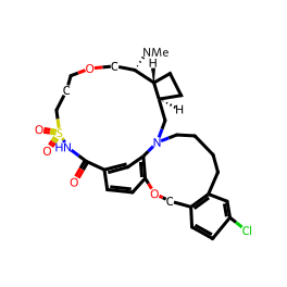 CN[C@H]1COCCCS(=O)(=O)NC(=O)c2ccc3c(c2)N(CCCCc2cc(Cl)ccc2CO3)C[C@@H]2CC[C@H]21